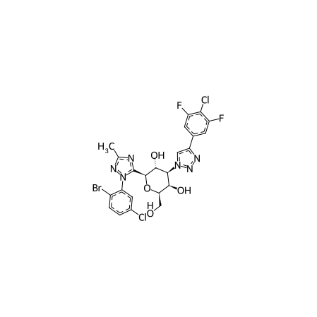 Cc1nc([C@@H]2O[C@H](CO)[C@H](O)[C@H](n3cc(-c4cc(F)c(Cl)c(F)c4)nn3)[C@H]2O)n(-c2cc(Cl)ccc2Br)n1